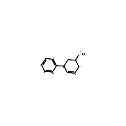 O=C(O)C1CC=CC(c2ccccc2)C1